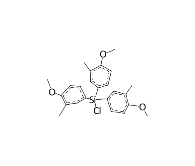 COc1ccc([Si](Cl)(c2ccc(OC)c(C)c2)c2ccc(OC)c(C)c2)cc1C